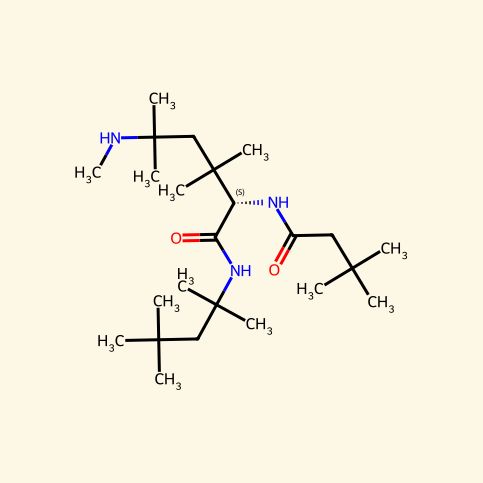 CNC(C)(C)CC(C)(C)[C@H](NC(=O)CC(C)(C)C)C(=O)NC(C)(C)CC(C)(C)C